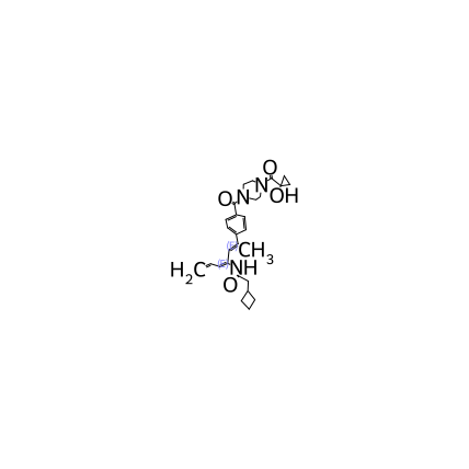 C=C/C=C(\C=C(/C)c1ccc(C(=O)N2CCN(C(=O)C3(O)CC3)CC2)cc1)NC(=O)CC1CCC1